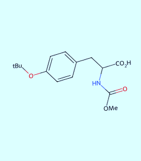 COC(=O)NC(Cc1ccc(OC(C)(C)C)cc1)C(=O)O